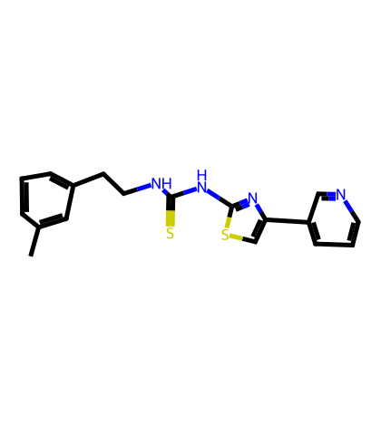 Cc1cccc(CCNC(=S)Nc2nc(-c3cccnc3)cs2)c1